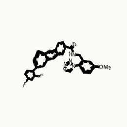 COc1ccc(-n2cnnn2)c(CNC(=O)c2ccc3c(c2)c2oc3c3ccc(-c4ccc(F)cc4F)cc32)c1